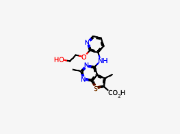 Cc1nc(Nc2cccnc2OCCO)c2c(C)c(C(=O)O)sc2n1